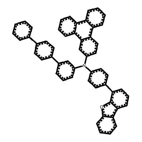 c1ccc(-c2ccc(-c3cccc(N(c4ccc(-c5cccc6c5oc5ccccc56)cc4)c4ccc5c6ccccc6c6ccccc6c5c4)c3)cc2)cc1